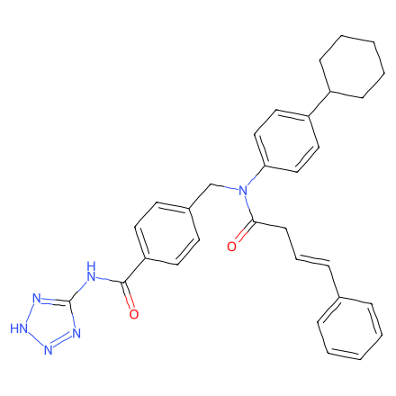 O=C(Nc1nn[nH]n1)c1ccc(CN(C(=O)C/C=C/c2ccccc2)c2ccc(C3CCCCC3)cc2)cc1